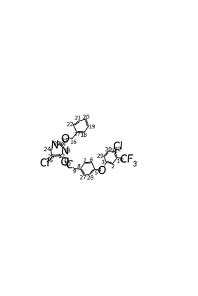 FC(F)(F)c1cc(Oc2ccc(CCOc3nc(OCc4ccccc4)ncc3Cl)cc2)ccc1Cl